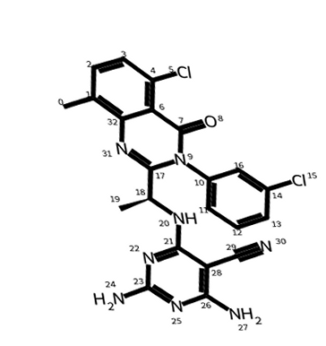 Cc1ccc(Cl)c2c(=O)n(-c3cccc(Cl)c3)c([C@H](C)Nc3nc(N)nc(N)c3C#N)nc12